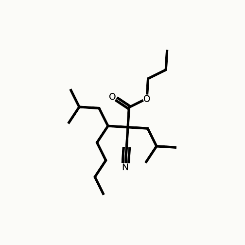 CCCCC(CC(C)C)C(C#N)(CC(C)C)C(=O)OCCC